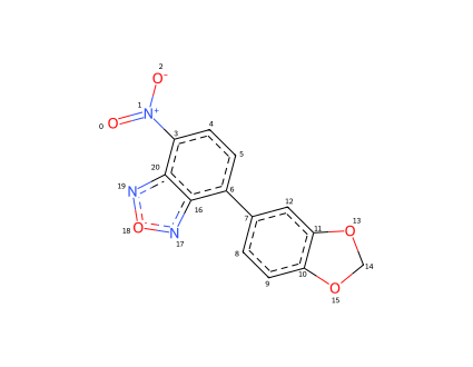 O=[N+]([O-])c1ccc(-c2ccc3c(c2)OCO3)c2nonc12